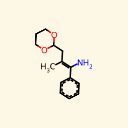 C/C(CC1OCCCO1)=C(/N)c1ccccc1